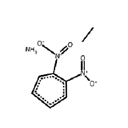 CC.N.O=[N+]([O-])c1ccccc1[N+](=O)[O-]